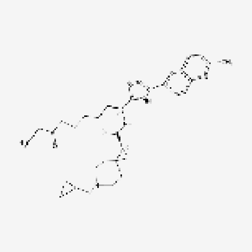 CCC(=O)CCCCC[C@H](NC(=O)[C@H]1CC12CCN(CC1CC1)CC2)c1ncc(-c2ccc3nc(C)ccc3c2)[nH]1